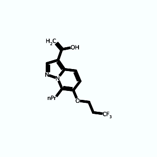 C=C(O)c1cnn2c(CCC)c(OCCC(F)(F)F)ccc12